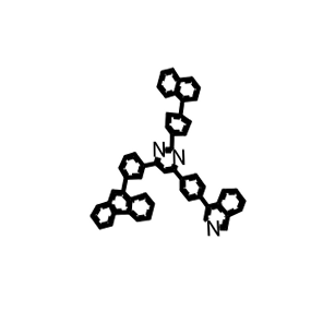 c1cc(-c2cc(-c3ccc(-c4cncc5ccccc45)cc3)nc(-c3ccc(-c4cccc5ccccc45)cc3)n2)cc(-c2cc3ccccc3c3ccccc23)c1